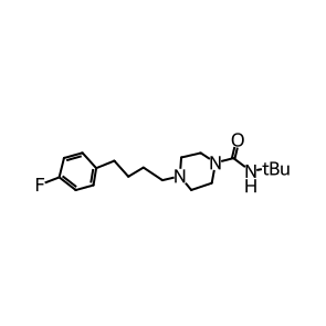 CC(C)(C)NC(=O)N1CCN(CCCCc2ccc(F)cc2)CC1